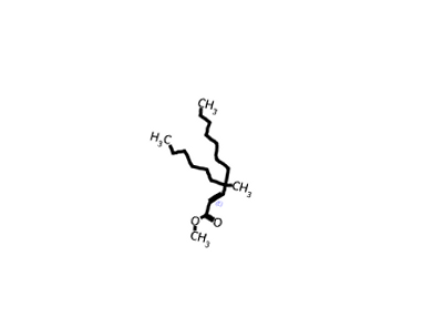 CCCCCCCC(C)(/C=C/C(=O)OC)CCCCCC